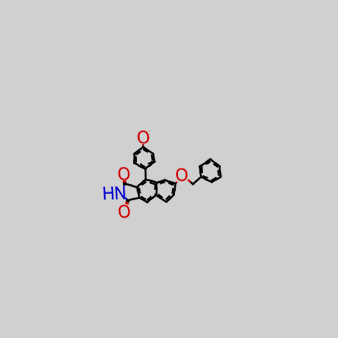 COc1ccc(-c2c3c(cc4ccc(OCc5ccccc5)cc24)C(=O)NC3=O)cc1